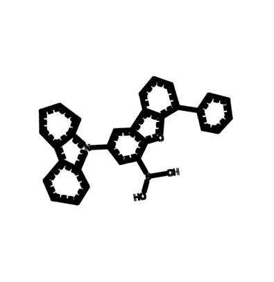 OB(O)c1cc(-n2c3ccccc3c3ccccc32)cc2c1oc1c(-c3ccccc3)cccc12